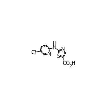 O=C(O)c1cnc(Nc2ccc(Cl)cn2)s1